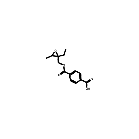 CCC1(COC(=O)c2ccc(C(=O)O)cc2)OC1C